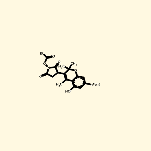 CCCCCc1cc(O)c2c(c1)OC(C)(C)C(C1CC(=O)N(OC(=O)CC)C1=O)=C2C